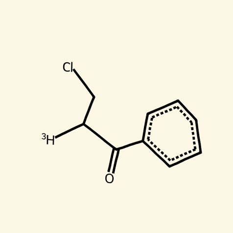 [3H]C(CCl)C(=O)c1ccccc1